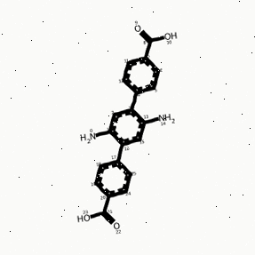 Nc1cc(-c2ccc(C(=O)O)cc2)c(N)cc1-c1ccc(C(=O)O)cc1